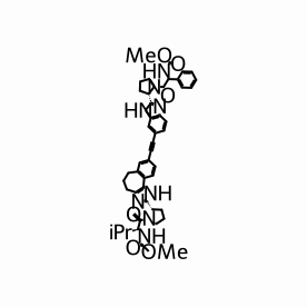 COC(=O)N[C@H](C(=O)N1CCC[C@H]1c1nc2c([nH]1)-c1ccc(C#Cc3ccc4nc([C@@H]5CCCN5C(=O)[C@H](NC(=O)OC)c5ccccc5)[nH]c4c3)cc1CCC2)C(C)C